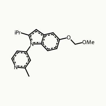 COCOc1ccc2c(c1)cc(C(C)C)n2-c1ccnc(C)c1